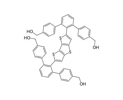 OCc1ccc(-c2cccc(-c3ccc(CO)cc3)c2-c2cc3sc4cc(-c5c(-c6ccc(CO)cc6)cccc5-c5ccc(CO)cc5)sc4c3s2)cc1